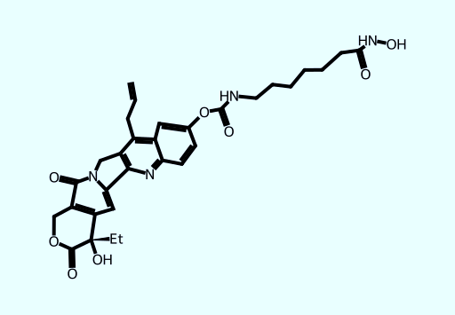 C=CCc1c2c(nc3ccc(OC(=O)NCCCCCCC(=O)NO)cc13)-c1cc3c(c(=O)n1C2)COC(=O)[C@]3(O)CC